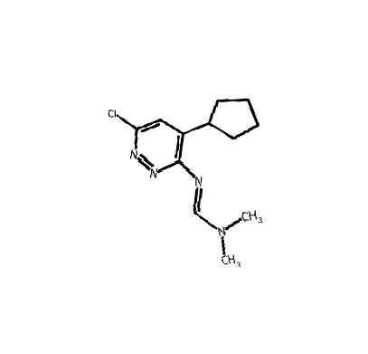 CN(C)C=Nc1nnc(Cl)cc1C1CCCC1